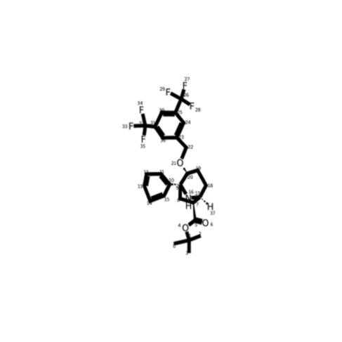 CC(C)(C)OC(=O)[C@H]1C[C@]2(c3ccccc3)N[C@H]1CC[C@H]2OCc1cc(C(F)(F)F)cc(C(F)(F)F)c1